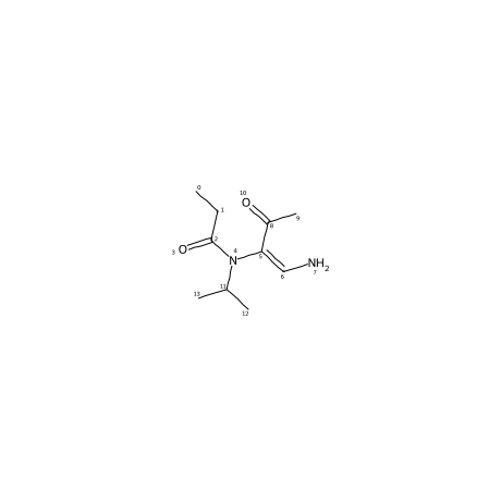 CCC(=O)N(C(=CN)C(C)=O)C(C)C